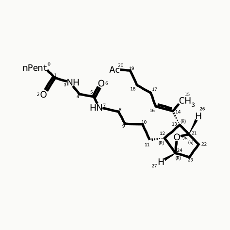 CCCCCC(=O)NCC(=O)NCCCC[C@@H]1[C@H](C(C)=CCCCC(C)=O)[C@@H]2CC[C@H]1O2